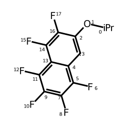 CC(C)Oc1[c]c2c(F)c(F)c(F)c(F)c2c(F)c1F